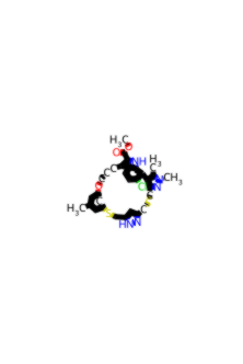 COC(=O)c1[nH]c2c3c(Cl)ccc2c1CCCOc1cc(C)cc(c1)SCc1cc(n[nH]1)CSCc1nn(C)c(C)c1-3